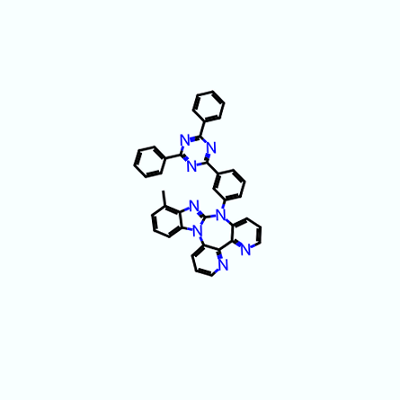 Cc1cccc2c1nc1n2-c2cccnc2-c2ncccc2N1c1cccc(-c2nc(-c3ccccc3)nc(-c3ccccc3)n2)c1